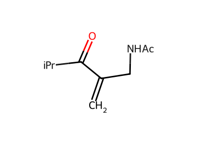 C=C(CNC(C)=O)C(=O)C(C)C